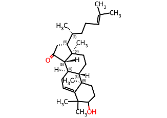 CC(C)=CCC[C@@H](C)[C@H]1CC(=O)[C@H]2[C@@H]3CC=C4C(C)(C)C(O)CC[C@]4(C)[C@H]3CC[C@]12C